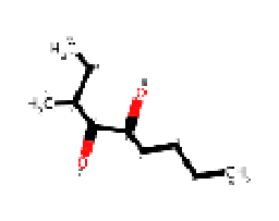 CCCCC(=O)C(=O)C(C)CC